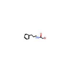 O=C(CBr)NCCCc1ccccc1